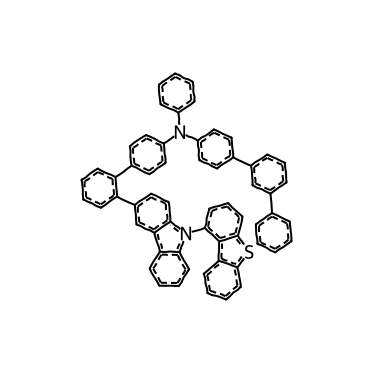 c1ccc(-c2cccc(-c3ccc(N(c4ccccc4)c4ccc(-c5ccccc5-c5ccc6c(c5)c5ccccc5n6-c5cccc6sc7ccccc7c56)cc4)cc3)c2)cc1